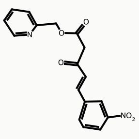 O=C(C=Cc1cccc([N+](=O)[O-])c1)CC(=O)OCc1ccccn1